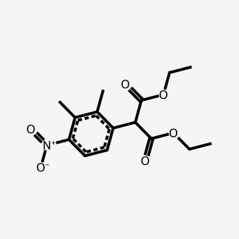 CCOC(=O)C(C(=O)OCC)c1ccc([N+](=O)[O-])c(C)c1C